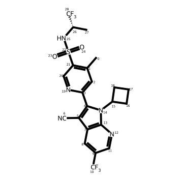 Cc1cc(-c2c(C#N)c3cc(C(F)(F)F)cnc3n2C2CCC2)ncc1S(=O)(=O)N[C@@H](C)C(F)(F)F